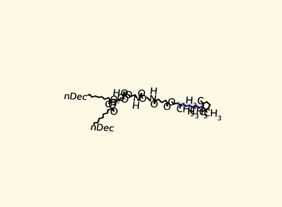 CCCCCCCCCCCCCCCCCC(=O)OC[C@H](COP(=O)(O)OCCNC(=O)OCCNC(=O)CCCC(=O)OC/C=C(C)/C=C/C=C(C)/C=C/C1=C(C)CCCC1(C)C)OC(=O)CCCCCCCCCCCCCCCCC